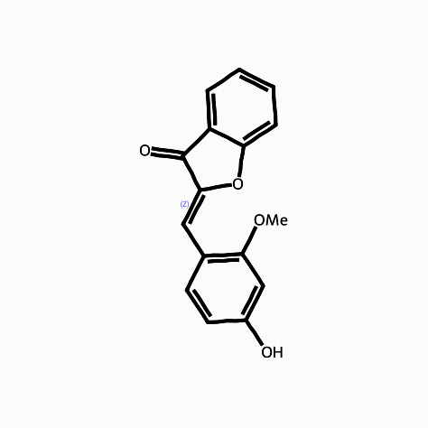 COc1cc(O)ccc1/C=C1\Oc2ccccc2C1=O